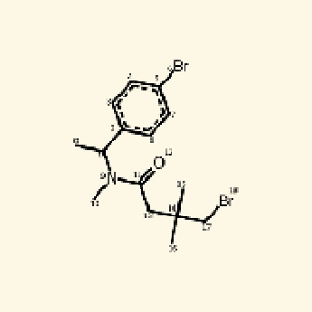 CC(c1ccc(Br)cc1)N(C)C(=O)CC(C)(C)CBr